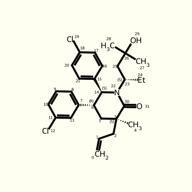 C=CC[C@@]1(C)C[C@H](c2cccc(Cl)c2)[C@@H](c2ccc(Cl)cc2)N([C@@H](CC)CC(C)(C)O)C1=O